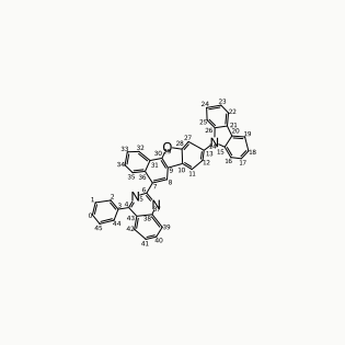 c1ccc(-c2nc(-c3cc4c5ccc(-n6c7ccccc7c7ccccc76)cc5oc4c4ccccc34)nc3ccccc23)cc1